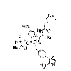 Cc1ncsc1-c1ccc(CNC(=O)[C@@H]2C[C@@H](O)CN2C(=O)[C@@H](NC(=O)CCCN)C(C)(C)C)cc1.O=C(O)C(F)(F)F